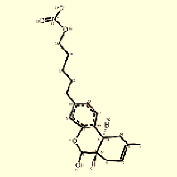 CC1=CC[C@@H]2C(O)Oc3cc(CCCCCO[N+](=O)[O-])ccc3[C@H]2C1